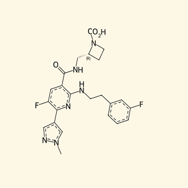 Cn1cc(-c2nc(NCCc3cccc(F)c3)c(C(=O)NC[C@H]3CCN3C(=O)O)cc2F)cn1